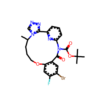 CC1CCCOc2cc(F)c(Br)cc2C(=O)N(C(=O)OC(C)(C)C)c2cccc(n2)-c2nncn21